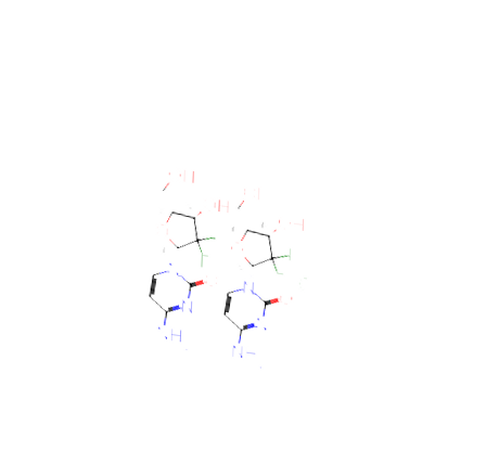 Cl.Nc1ccn([C@@H]2O[C@H](CO)[C@@H](O)C2(F)F)c(=O)n1.Nc1ccn([C@@H]2O[C@H](CO)[C@@H](O)C2(F)F)c(=O)n1